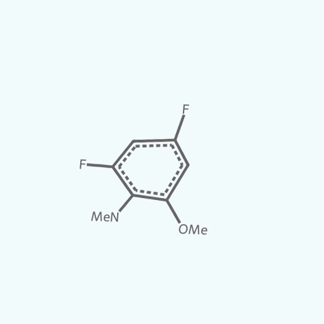 CNc1c(F)cc(F)cc1OC